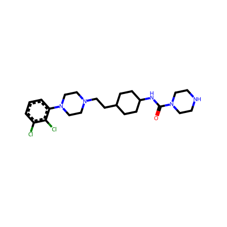 O=C(NC1CCC(CCN2CCN(c3cccc(Cl)c3Cl)CC2)CC1)N1CCNCC1